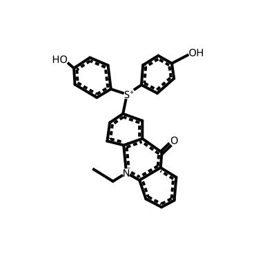 CCn1c2ccccc2c(=O)c2cc([S+](c3ccc(O)cc3)c3ccc(O)cc3)ccc21